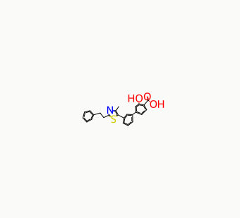 Cc1nc(CCc2ccccc2)sc1-c1cccc(-c2ccc(C(=O)O)c(O)c2)c1